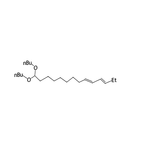 CCC=CC=CCCCCCCCC(OCCCC)OCCCC